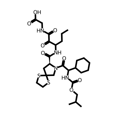 CCCC(NC(=O)[C@@H]1CC2(CN1C(=O)C(NC(=O)OCC(C)C)C1CCCCC1)SCCS2)C(=O)C(=O)NCC(=O)O